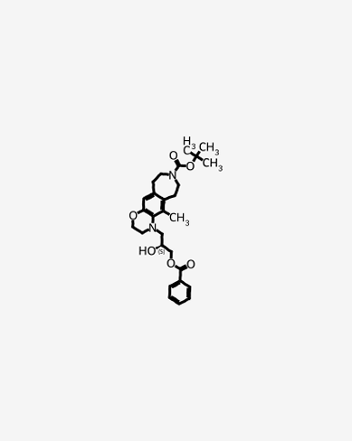 Cc1c2c(cc3c1N(C[C@H](O)COC(=O)c1ccccc1)CCO3)CCN(C(=O)OC(C)(C)C)CC2